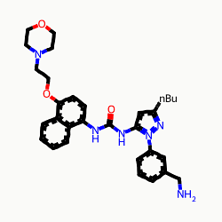 CCCCc1cc(NC(=O)Nc2ccc(OCCN3CCOCC3)c3ccccc23)n(-c2cccc(CN)c2)n1